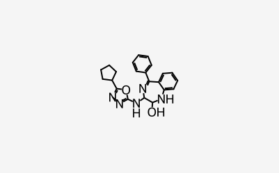 OC1Nc2ccccc2C(c2ccccc2)=NC1Nc1nnc(C2CCCC2)o1